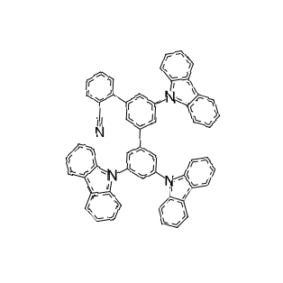 N#Cc1ccccc1-c1cc(-c2cc(-n3c4ccccc4c4ccccc43)cc(-n3c4ccccc4c4ccccc43)c2)cc(-n2c3ccccc3c3ccccc32)c1